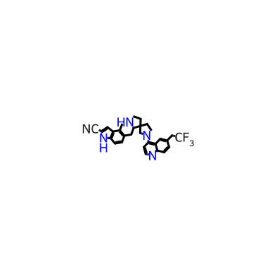 Cc1c(CC2NCCC23CCN(c2ccnc4ccc(CC(F)(F)F)cc24)C3)ccc2[nH]c(C#N)cc12